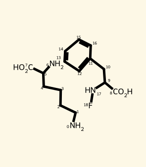 NCCCCC(N)C(=O)O.O=C(O)C(Cc1ccccc1)NF